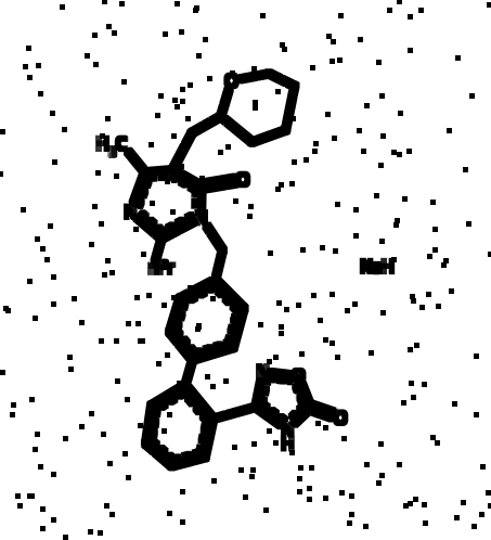 CCCc1nc(C)c(CC2CCCCO2)c(=O)n1Cc1ccc(-c2ccccc2-c2noc(=O)[nH]2)cc1.[NaH]